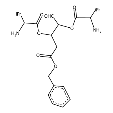 CC(C)C(N)C(=O)OC([C]=O)C(CC(=O)OCc1ccccc1)OC(=O)C(N)C(C)C